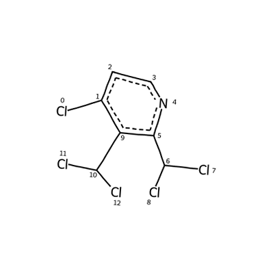 Clc1ccnc(C(Cl)Cl)c1C(Cl)Cl